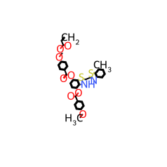 C=CC(=O)OCOc1ccc(C(=O)Oc2ccc(OC(=O)c3ccc(OC)cc3)c3c2SC(c2nc4cccc(C)c4s2)N3)cc1